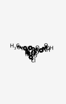 COCCN1CCN(c2ccc(CC(C(=O)Nc3ccc4[nH]c(C(=O)O)cc4c3)N3CCN(c4cc(Cl)ccc4-n4cnnn4)C(=O)C3=O)cc2)C(=O)C1